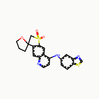 O=S1(=O)CC2(CCCO2)c2cc3nccc(Nc4ccc5scnc5c4)c3cc21